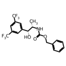 C[C@H](NC(=O)OCc1ccccc1)[C@H](O)c1cc(C(F)(F)F)cc(C(F)(F)F)c1